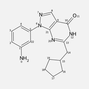 Nc1cccc(-n2ncc3c(=O)[nH]c(CC4CCCC4)nc32)c1